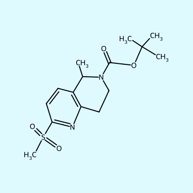 CC1c2ccc(S(C)(=O)=O)nc2CCN1C(=O)OC(C)(C)C